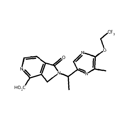 Cc1nc(C(C)N2Cc3c(ccnc3C(=O)O)C2=O)cnc1OCC(F)(F)F